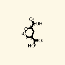 O=C(O)C1COOC(C(=O)O)C1